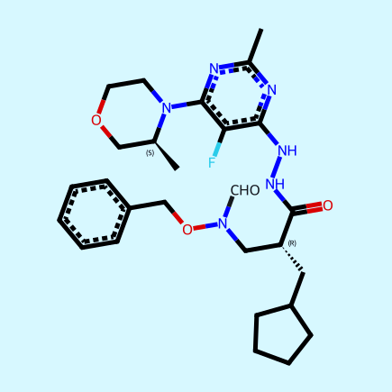 Cc1nc(NNC(=O)[C@H](CC2CCCC2)CN(C=O)OCc2ccccc2)c(F)c(N2CCOC[C@@H]2C)n1